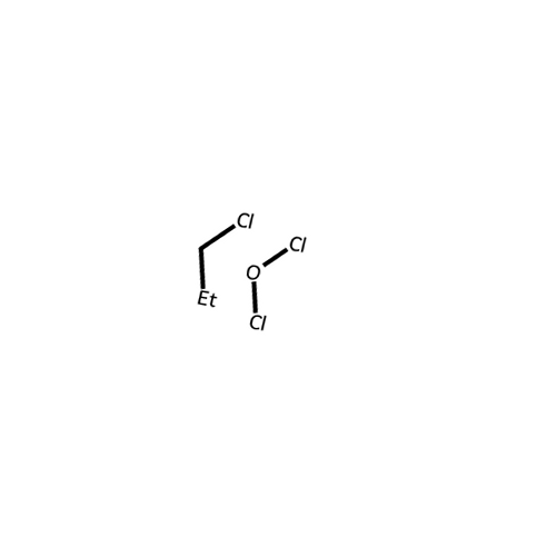 CCCCl.ClOCl